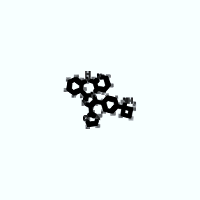 NC1(c2ccc(-c3c(-c4ncco4)nc4n3-c3cccnc3Nc3ccccc3-4)cc2)CCC1